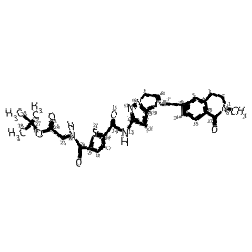 CN1CCc2cc(N3CCn4nc(NC(=O)c5ccc(C(=O)NCC(=O)OC(C)(C)C)s5)cc43)ccc2C1=O